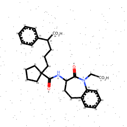 O=C(O)CN1C(=O)C(NC(=O)C2(CCCC(C(=O)O)c3ccccc3)CCCC2)CCc2ccccc21